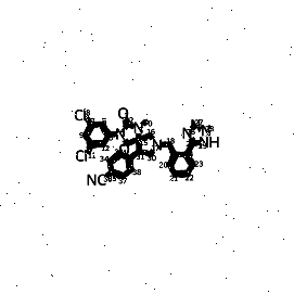 CN1C(=O)N(c2cc(Cl)cc(Cl)c2)C(=O)C12CN(Cc1ccccc1-c1nnn[nH]1)CC2c1ccc(C#N)cc1